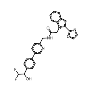 O=C(Cn1c(-c2ncco2)cc2ccccc21)NCc1ccc(-c2ccc(C(O)C(F)F)cc2)cn1